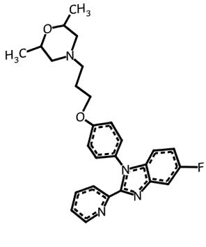 CC1CN(CCCOc2ccc(-n3c(-c4ccccn4)nc4cc(F)ccc43)cc2)CC(C)O1